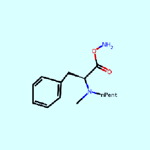 CCCCCN(C)[C@@H](Cc1ccccc1)C(=O)ON